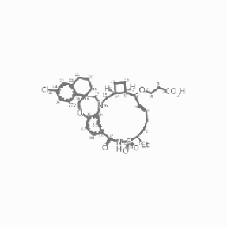 CC[C@@H]1CC/C=C/[C@@H](OCCC(=O)O)[C@@H]2CC[C@H]2CN2C[C@@]3(CCCc4cc(Cl)ccc43)COc3ccc(cc32)C(=O)NS1(=O)=O